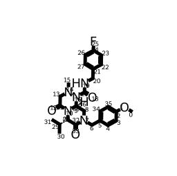 COc1ccc(CN2C[C@H]3N(C(=O)CN(C)N3C(=O)NCc3ccc(F)cc3)[C@@H](C(C)C)C2=O)cc1